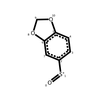 O=[S+]c1ccc2c(c1)OCO2